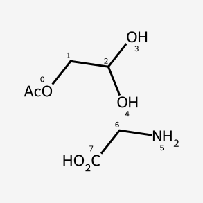 CC(=O)OCC(O)O.NCC(=O)O